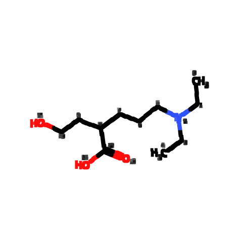 CCN(CC)CCCC(CCO)C(=O)O